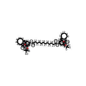 CC(C)(C)OC(=O)NC1C2CCCCCC1(C)c1cc(OC(=O)CCCCCCCCCCC(=O)Oc3cc(F)c4c(c3)C3(C)CCCCCC(C4)C3NC(=O)OC(C)(C)C)cc(F)c1C2